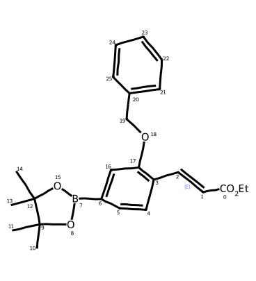 CCOC(=O)/C=C/c1ccc(B2OC(C)(C)C(C)(C)O2)cc1OCc1ccccc1